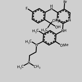 COc1cc(N(C)CCN(C)C)c(C)cc1Nc1ncc(Br)c(Nc2cc(F)ccc2C(C)(C)O)n1